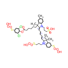 Cc1ccc2c(c1)C(C)(CCCCCC(=O)Oc1c(Cl)cc(SOOO)cc1Cl)/C(=C/C=C/C=C/C1=[N+](CCCSOOO)c3ccc(SOOO)cc3C1(C)C)N2CCCS(=O)(=O)O